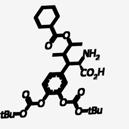 CC(OC(=O)C1CCCCC1)C(C)C(c1ccc(OC(=O)OC(C)(C)C)c(OC(=O)OC(C)(C)C)c1)[C@H](N)C(=O)O